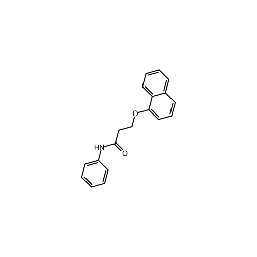 O=C(CCOc1cccc2ccccc12)Nc1ccccc1